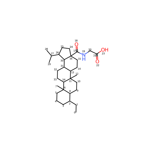 CCC1CCCC2(C)C1CCC1(C)C3CCC4(C(=O)NCC(=O)O)CCC(C(C)C)C4C3CCC21